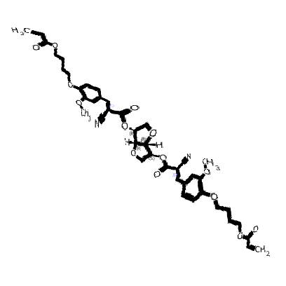 C=CC(=O)OCCCCOc1ccc(/C=C(\C#N)C(=O)O[C@H]2CO[C@H]3[C@@H]2OC[C@H]3OC(=O)/C(C#N)=C/c2ccc(OCCCCOC(=O)C=C)c(OC)c2)cc1OC